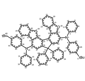 CC(C)(C)c1ccc(N(c2ccccc2)c2cc3c(c4c2oc2ccccc24)-c2c(cc(N(c4ccccc4)c4ccc(C(C)(C)C)cc4)c4c2sc2ccccc24)C3(c2ccccc2)c2ccccc2)cc1